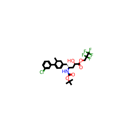 CC1CC(C[C@H](C[C@@H](O)C(=O)OCC(F)(F)C(F)(F)F)NC(=O)OC(C)(C)C)=CC=C1c1cccc(Cl)c1